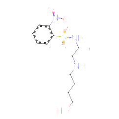 C[C@H](CNCCCCO)NS(=O)(=O)c1ccccc1[N+](=O)[O-]